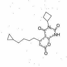 O=c1cc(CCCCC2CC2)c2c(=O)n(C3CCC3)c(=O)[nH]c2o1